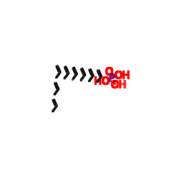 C=CC.C=CC.C=CC.C=CC.C=CC.C=CC.C=CC.C=CC.O=P(O)(O)O